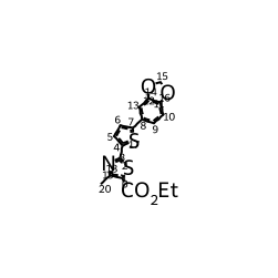 CCOC(=O)c1sc(-c2ccc(-c3ccc4c(c3)OCO4)s2)nc1C